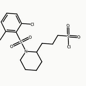 Cc1cccc(Cl)c1S(=O)(=O)N1CCCCC1CCCS(=O)(=O)Cl